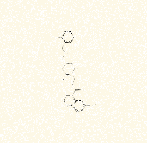 COc1ccc2nccc(C(O)CC[C@@H]3CCN(CCCc4ccccc4F)C[C@@H]3CC(=O)O)c2c1